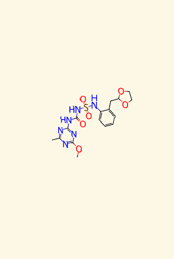 COc1nc(C)nc(NC(=O)NS(=O)(=O)Nc2ccccc2CC2OCCO2)n1